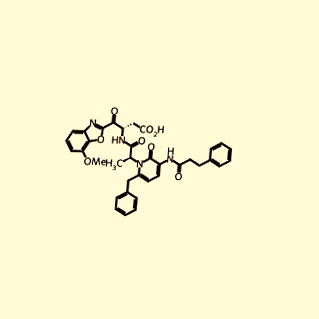 COc1cccc2nc(C(=O)[C@H](CC(=O)O)NC(=O)[C@H](C)n3c(Cc4ccccc4)ccc(NC(=O)CCc4ccccc4)c3=O)oc12